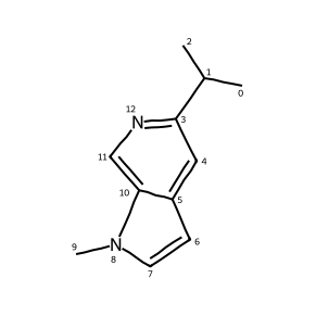 CC(C)c1cc2ccn(C)c2cn1